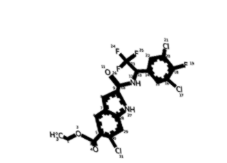 CCOC(=O)c1cc2cc(C(=O)NC(c3cc(Cl)c(F)c(Cl)c3)C(F)(F)F)[nH]c2cc1Cl